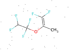 CC(OC(F)(F)[C](F)F)=C(F)F